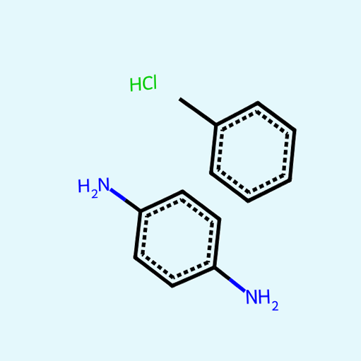 Cc1ccccc1.Cl.Nc1ccc(N)cc1